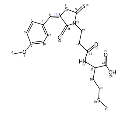 COc1ccc(/C=C2/SC(=S)N(CCC(=O)NC(CCSC)C(=O)O)C2=O)cc1